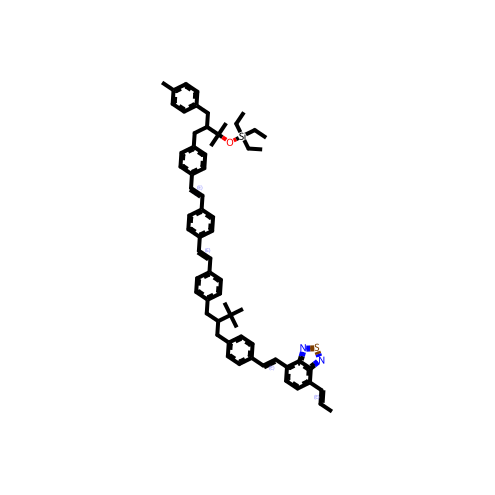 C/C=C/c1ccc(/C=C/c2ccc(CC(Cc3ccc(/C=C/c4ccc(/C=C/c5ccc(CC(Cc6ccc(C)cc6)C(C)(C)O[Si](CC)(CC)CC)cc5)cc4)cc3)C(C)(C)C)cc2)c2nsnc12